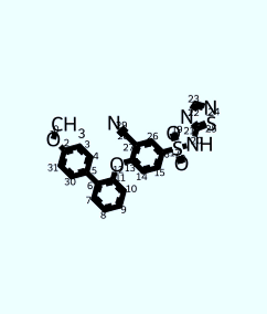 COc1ccc(-c2ccccc2Oc2ccc(S(=O)(=O)Nc3ncns3)cc2C#N)cc1